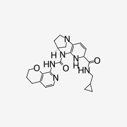 O=C(NCC1CC1)C1C=CC2=C(N1)N(C(=O)Nc1nccc3c1OCCC3)[C@H]1CCN2C1